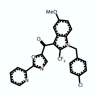 COc1ccc2c(c1)c(C(=O)c1cnc(-c3ccccn3)o1)c(C(F)(F)F)n2Cc1ccc(Cl)cc1